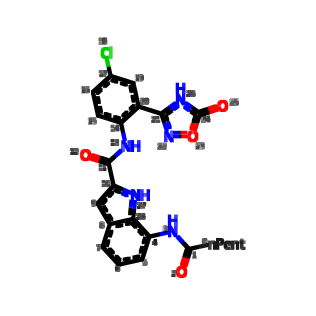 CCCCCC(=O)Nc1cccc2cc(C(=O)Nc3ccc(Cl)cc3-c3noc(=O)[nH]3)[nH]c12